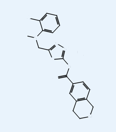 CN(Cc1nnc(NC(=O)c2ccc3c(c2)CCNC3)s1)c1ccccc1Cl.Cl